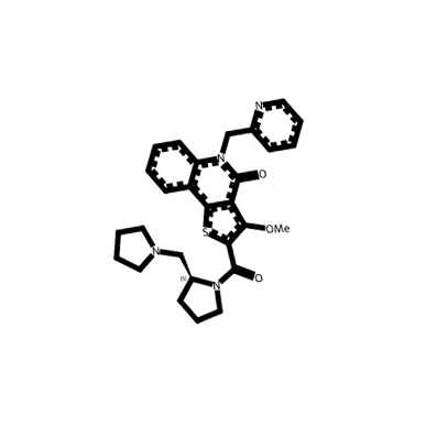 COc1c(C(=O)N2CCC[C@H]2CN2CCCC2)sc2c1c(=O)n(Cc1ccccn1)c1ccccc21